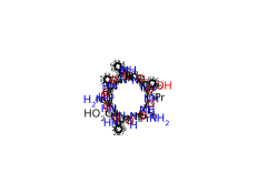 CC(C)C[C@@H]1NC(=O)[C@H](CCCN)NC(=O)[C@H](C(C)C)NC(=O)[C@H](Cc2c[nH]c3ccccc23)NC(=O)[C@H](CC(=O)O)NC(=O)[C@H](CC(N)=O)NC(=O)[C@@H](Cc2ccccc2)NC(=O)[C@H](Cc2c[nH]c3ccccc23)NC(=O)[C@@H]2CCCN2C(=O)[C@@H](Cc2ccc(O)cc2)NC1=O